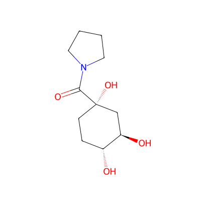 O=C(N1CCCC1)[C@]1(O)CC[C@@H](O)[C@H](O)C1